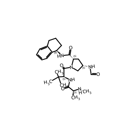 CN[C@@H](C)C(=O)N[C@H](C(=O)N1C[C@@H](NC=O)C[C@H]1C(=O)N[C@@H]1CCCc2ccccc21)C(C)(C)C